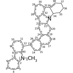 Cn1c2ccccc2c2cccc(-c3ccc4ccc5cc6c(cc5c4c3)c3cccc4c3n6C3CCCC=C43)c21